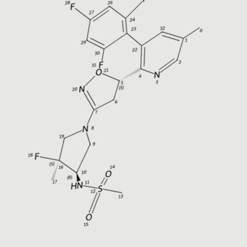 Cc1cnc([C@@H]2CC(N3C[C@@H](NS(C)(=O)=O)[C@@](C)(F)C3)=NO2)c(-c2c(F)cc(F)cc2F)c1